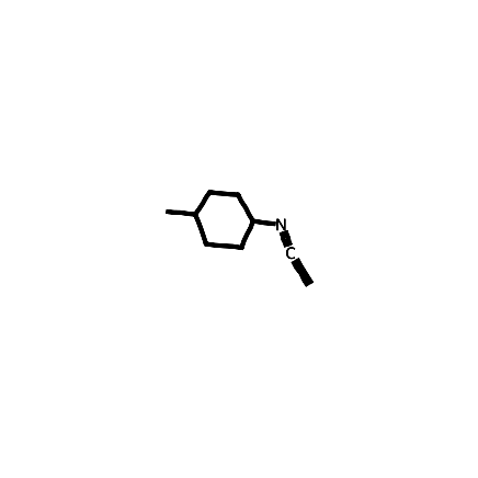 C=C=NC1CCC(C)CC1